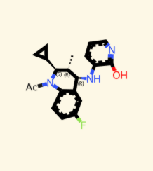 CC(=O)N1c2ccc(F)cc2[C@H](Nc2cccnc2O)[C@@H](C)[C@@H]1C1CC1